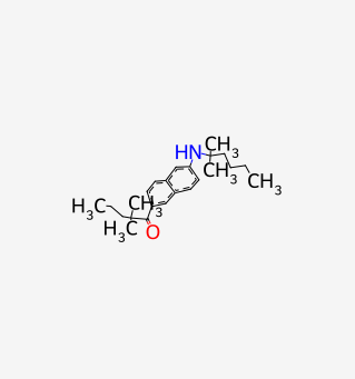 CCCCC(C)(C)Nc1ccc2cc(C(=O)C(C)(C)CCC)ccc2c1